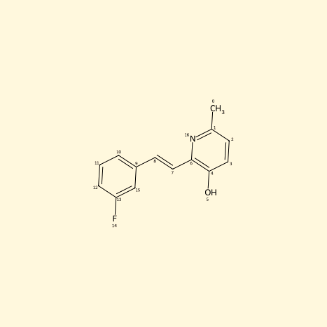 Cc1ccc(O)c(C=Cc2cccc(F)c2)n1